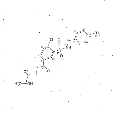 CNC(=O)CCC(=O)c1ccc(Cl)c(S(=O)(=O)NCc2ccc(C)cc2)c1